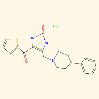 Cl.O=C(c1cccs1)c1[nH]c(=O)[nH]c1CN1CCC(c2ccccc2)CC1